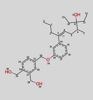 CCC/C(=C/CC(C)C(O)(CC)CC)c1cccc(OCc2ccc(CO)c(CO)c2)c1